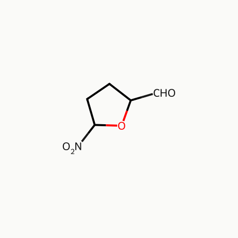 O=CC1CCC([N+](=O)[O-])O1